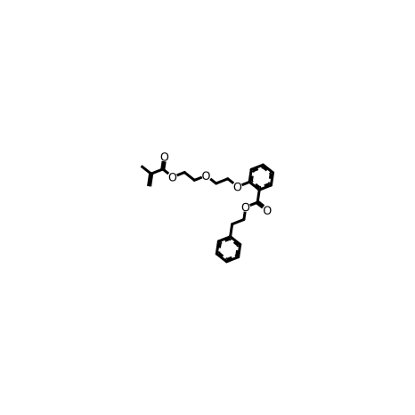 C=C(C)C(=O)OCCOCCOc1ccccc1C(=O)OCCc1ccccc1